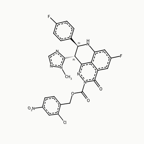 Cn1ncnc1[C@H]1c2nn(C(=O)OCc3ccc([N+](=O)[O-])cc3Cl)c(=O)c3cc(F)cc(c23)N[C@@H]1c1ccc(F)cc1